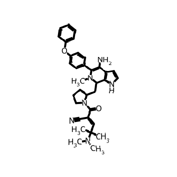 CN1C(c2ccc(Oc3ccccc3)cc2)=C(N)c2cc[nH]c2C1CC1CCCN1C(=O)C(C#N)=CC(C)(C)N(C)C